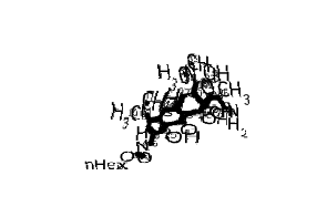 CCCCCCOC(=O)NCc1cc(N(C)C)c2c(c1O)C(=O)C1=C(O)[C@](O)(C(=O)C(C)C(N)=O)[C@H]([C@@H](CO)N(C)C)C[C@@H]1C2